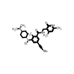 CCN(c1cc(C#CC(C)(C)C)cc(C(=O)NCc2c(C)cc(C)[nH]c2=O)c1C)[C@H]1CC[C@H](N(C)C)CC1